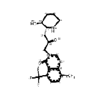 Cc1ccc(C(F)(F)F)c2c(=O)n(CC(=O)C[C@H]3NCCC[C@@H]3O)cnc12